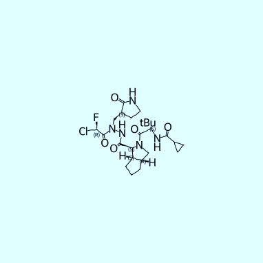 CC(C)(C)[C@H](NC(=O)C1CC1)C(=O)N1C[C@@H]2CCC[C@@H]2[C@H]1C(=O)NN(C[C@@H]1CCNC1=O)C(=O)[C@H](F)Cl